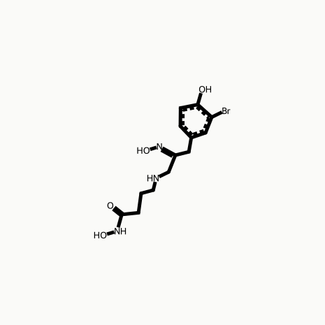 O=C(CCCNCC(Cc1ccc(O)c(Br)c1)=NO)NO